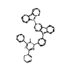 C1=CCCC(C2=NC(c3cccc(-n4c5ccccc5c5cc(-n6c7ccccc7c7ccccc76)ccc54)c3)NC(c3ccccc3)=N2)=C1